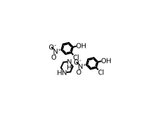 C1CNCCN1.O=[N+]([O-])c1ccc(O)c(Cl)c1.O=[N+]([O-])c1ccc(O)c(Cl)c1